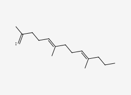 [C]=C(C)CC/C=C(\C)CC/C=C(\C)CCC